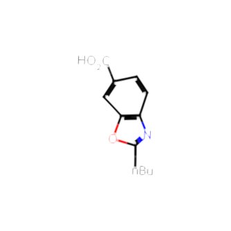 CCCCc1nc2ccc(C(=O)O)cc2o1